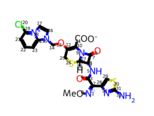 CO/N=C(\C(=O)N[C@@H]1C(=O)N2C(C(=O)[O-])=C(OCn3cc[n+]4c(Cl)cccc34)CS[C@@H]12)c1csc(N)n1